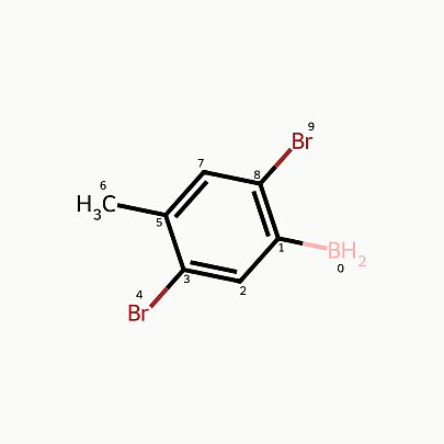 Bc1cc(Br)c(C)cc1Br